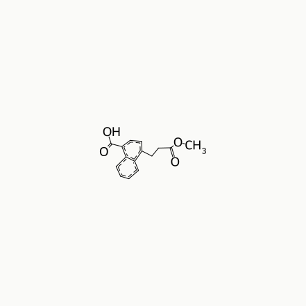 COC(=O)CCc1ccc(C(=O)O)c2ccccc12